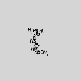 Cc1ccnc(Nc2cccc(-c3cnc(COCC(=O)N(C)C)s3)n2)c1